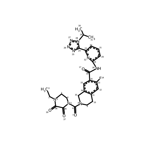 CCN1CCN(C(=O)N2CCc3cc(F)c(C(=O)Nc4cccc(-c5nnnn5C(C)C)n4)cc3C2)C(=O)C1=O